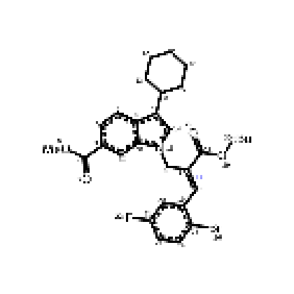 COC(=O)c1ccc2c(C3CCCCC3)cn(C/C(=C\c3cc(F)ccc3Br)C(=O)OC(C)(C)C)c2c1